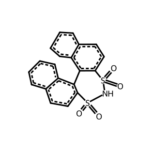 O=S1(=O)NS(=O)(=O)c2ccc3ccccc3c2-c2c1ccc1ccccc21